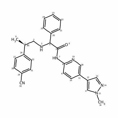 C[C@@H](CNC(C(=O)Nc1ccc(-c2cnn(C)c2)cn1)c1ccccc1)c1ccc(C#N)cc1